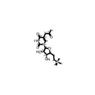 C=P(C)(C)CCC1OC(n2cc(CC(C)=O)c(=O)[nH]c2=O)[C@H](O)[C@@H]1O